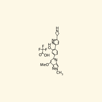 COc1cc(-c2ccc(-c3ccc(C4CNC4)nn3)c(O)c2)nc2cn(C)nc12.O=C(O)C(F)(F)F